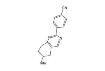 CCCCC1CCc2nc(-c3ccc(C#N)cc3)ncc2C1